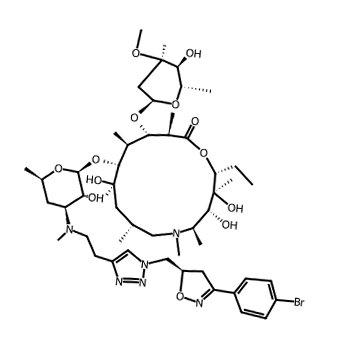 CC[C@H]1OC(=O)[C@H](C)[C@@H](O[C@H]2C[C@@](C)(OC)[C@@H](O)[C@H](C)O2)[C@H](C)[C@@H](O[C@@H]2O[C@H](C)C[C@H](N(C)CCc3cn(C[C@H]4CC(c5ccc(Br)cc5)=NO4)nn3)[C@H]2O)[C@](C)(O)C[C@@H](C)CN(C)[C@H](C)[C@@H](O)[C@]1(C)O